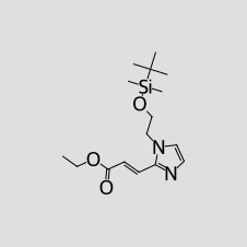 CCOC(=O)/C=C/c1nccn1CCO[Si](C)(C)C(C)(C)C